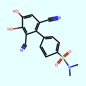 CN(C)S(=O)(=O)c1ccc(-c2c(C#N)cc(O)c(O)c2C#N)cc1